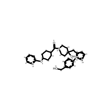 O=C(C1CCC(Oc2ccccn2)CC1)N1CCC(O)(Cc2ccnn2-c2ccc(CO)cc2)CC1